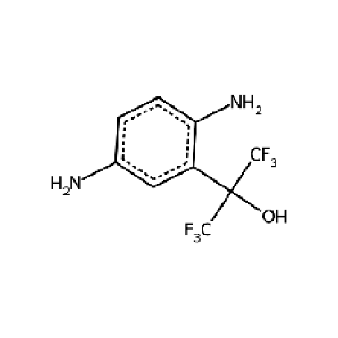 Nc1ccc(N)c(C(O)(C(F)(F)F)C(F)(F)F)c1